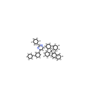 c1ccc(-c2cccc(-c3cc(-c4cccc5c4-c4ccccc4C54c5ccccc5-c5c4ccc4ccccc54)nc(-c4ccccc4)n3)c2)cc1